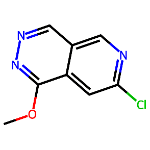 COc1nncc2cnc(Cl)cc12